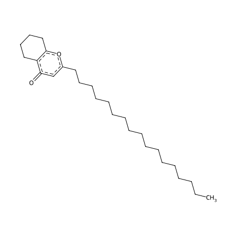 CCCCCCCCCCCCCCCCCc1cc(=O)c2c(o1)CCCC2